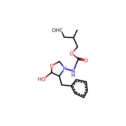 CC(CC=O)COC(=O)NN1COC(O)C1Cc1ccccc1